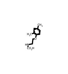 Cc1ccc(OCCNC(=O)O)c(C)c1